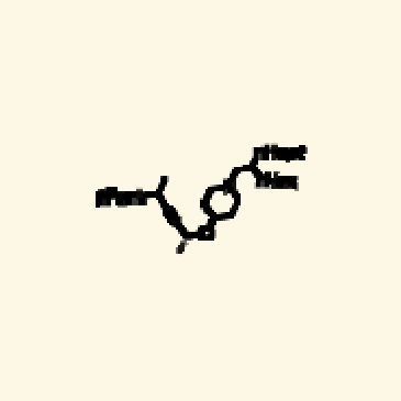 CCCCCCCC(CCCCCC)CN1CCC(O[C@H](C)C#CC(C)CCCCC)CC1